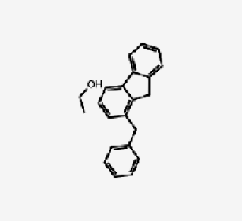 CCO.c1ccc(Cc2cccc3c2Cc2ccccc2-3)cc1